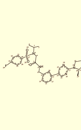 CC(C)N(CC(=O)NCc1cccc(-c2cnc(N3CCC[C@H]3C)nc2)c1)S(=O)(=O)c1ccc(F)cc1